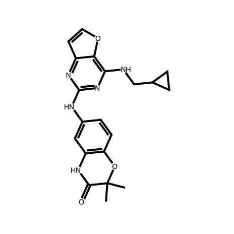 CC1(C)Oc2ccc(Nc3nc(NCC4CC4)c4occc4n3)cc2NC1=O